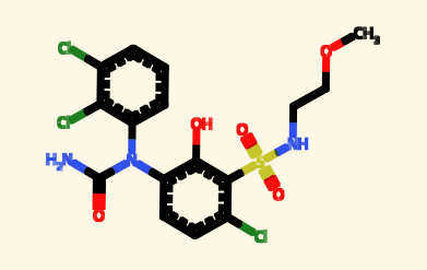 COCCNS(=O)(=O)c1c(Cl)ccc(N(C(N)=O)c2cccc(Cl)c2Cl)c1O